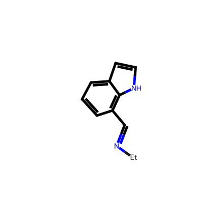 CC/N=C/c1cccc2cc[nH]c12